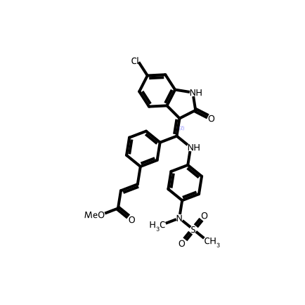 COC(=O)C=Cc1cccc(/C(Nc2ccc(N(C)S(C)(=O)=O)cc2)=C2/C(=O)Nc3cc(Cl)ccc32)c1